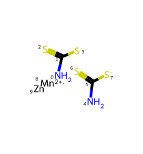 NC(=S)[S-].NC(=S)[S-].[Mn+2].[Zn]